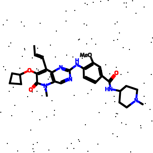 CC=Cc1c(OC2CCC2)c(=O)n(C)c2cnc(Nc3ccc(C(=O)NC4CCN(C)CC4)cc3OC)nc12